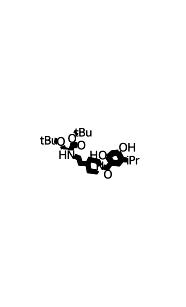 CC(C)c1cc(C(=O)N2CCC(CCN[C@@H](COC(C)(C)C)C(=O)OC(C)(C)C)CC2)c(O)cc1O